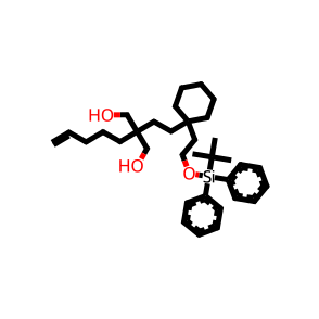 C=CCCCC(CO)(CO)CCC1(CCO[Si](c2ccccc2)(c2ccccc2)C(C)(C)C)CCCCC1